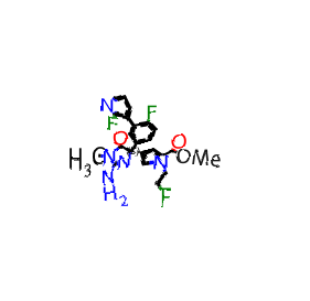 COC(=O)c1cc([C@]2(c3ccc(F)c(-c4cccnc4F)c3)N=C(N)N(C)C2=O)cn1CCF